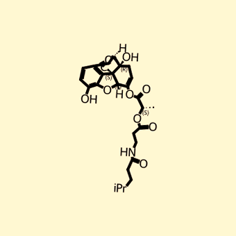 CC(C)CCC(=O)NCCC(=O)O[C@@H](C)C(=O)OC1=CC[C@@]2(O)[C@@H]3CCC[C@@]24c2c(ccc(O)c2O[C@@H]14)C3